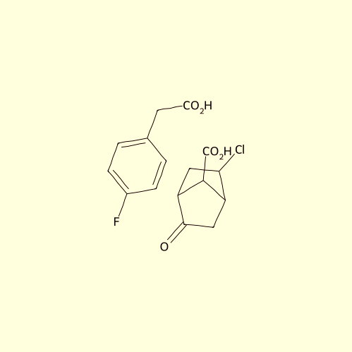 O=C(O)Cc1ccc(F)cc1.O=C1CC2C(Cl)CC1C2C(=O)O